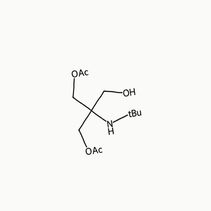 CC(=O)OCC(CO)(COC(C)=O)NC(C)(C)C